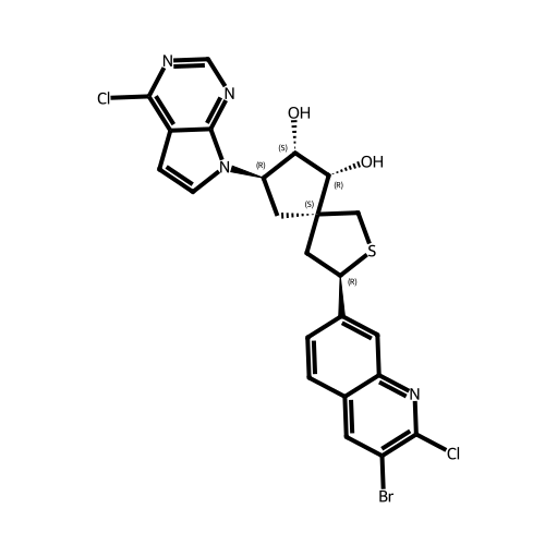 O[C@H]1[C@H](n2ccc3c(Cl)ncnc32)C[C@@]2(CS[C@@H](c3ccc4cc(Br)c(Cl)nc4c3)C2)[C@H]1O